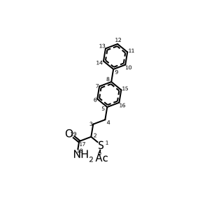 CC(=O)SC(CCc1ccc(-c2ccccc2)cc1)C(N)=O